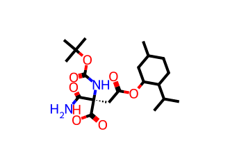 CC1CCC(C(C)C)C(OC(=O)C[C@@](NC(=O)OC(C)(C)C)(C(N)=O)C(=O)O)C1